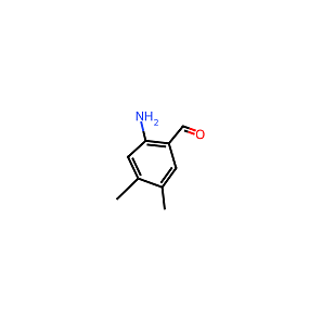 Cc1cc(N)c(C=O)cc1C